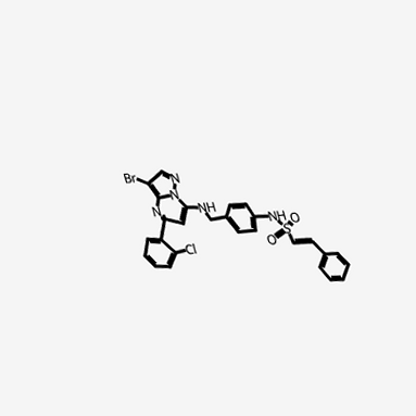 O=S(=O)(/C=C/c1ccccc1)Nc1ccc(CNc2cc(-c3ccccc3Cl)nc3c(Br)cnn23)cc1